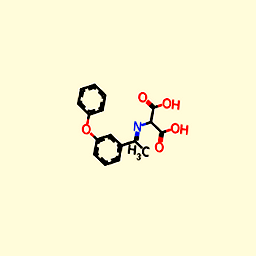 CC(=NC(C(=O)O)C(=O)O)c1cccc(Oc2ccccc2)c1